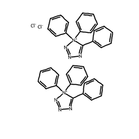 [Cl-].[Cl-].c1ccc(C2=NN=N[N+]2(c2ccccc2)c2ccccc2)cc1.c1ccc(C2=NN=N[N+]2(c2ccccc2)c2ccccc2)cc1